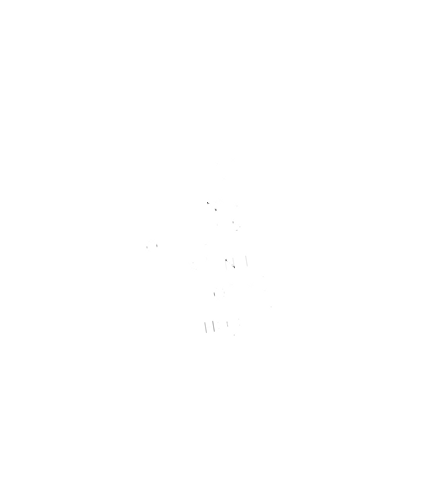 O=C(O)C1=C(C(=O)Nc2sc3c(c2-c2nc(C4CC4)cs2)CCOC3)C2CCC1CC2